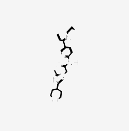 C=C/C(=N\C=C/C)c1ccc(NC(=O)Cn2cc(C3CCOCC3)nc2C)nc1